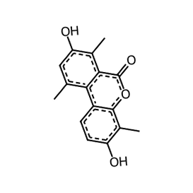 Cc1c(O)ccc2c1oc(=O)c1c(C)c(O)cc(C)c12